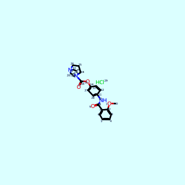 COc1ccccc1C(=O)Nc1ccc(OC(=O)N2CCN3CCC2CC3)cc1.Cl